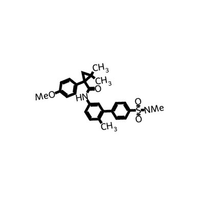 CNS(=O)(=O)c1ccc(-c2cc(NC(=O)C3(c4ccc(OC)cc4)CC3(C)C)ccc2C)cc1